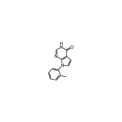 Cc1ccccc1-n1ccc2c(=O)[nH]cnc21